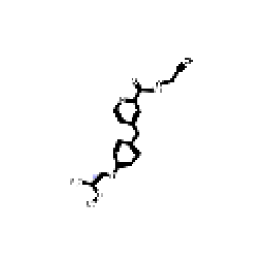 C#CCONC(=O)c1cc(Cc2ccc(O/C=C(\OCC)C(F)(F)F)cc2)ccn1